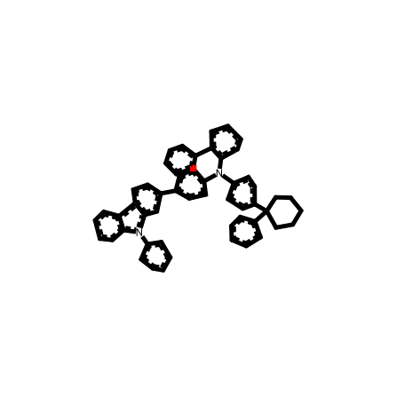 c1ccc(-c2ccccc2N(c2ccc(-c3ccc4c5ccccc5n(-c5ccccc5)c4c3)cc2)c2ccc(C3(c4ccccc4)CCCCC3)cc2)cc1